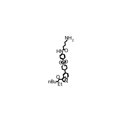 CCCCC(CC)C(=O)c1cnn2ccc(C3CCN(S(=O)(=O)c4ccc(NC(=O)CCCCN)cc4)CC3)cc12